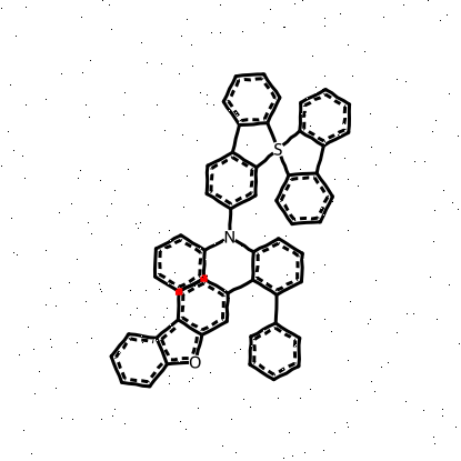 c1ccc(-c2cccc(N(c3ccccc3)c3ccc4c(c3)S3(c5ccccc5-c5ccccc53)c3ccccc3-4)c2-c2ccc3c(c2)oc2ccccc23)cc1